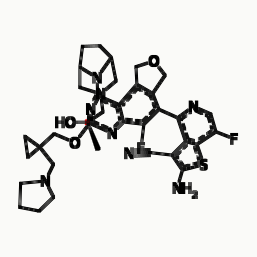 C[C@@H](O)CN1CC2CCC(C1)N2c1nc(OCC2(CN3CCCC3)CC2)nc2c(F)c(-c3ncc(F)c4sc(N)c(C#N)c34)c3c(c12)COC3